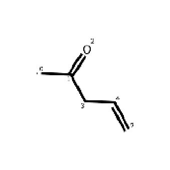 [CH2]C(=O)CC=C